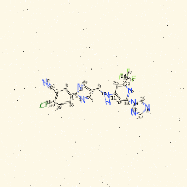 N#Cc1cc(-c2ncc(CNc3cc(-n4cncn4)nc(C(F)(F)F)c3)cn2)ccc1Cl